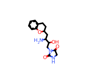 NC(CC1CCc2ccccc2O1)C(O)CN1C(=O)CNC1=O